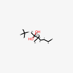 CC(C)(C)C.CCCCC(C)(C)C(C)(O)O